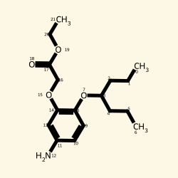 CCCC(CCC)Oc1ccc(N)cc1OCC(=O)OCC